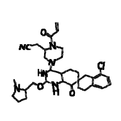 C=CC(=O)N1CCN(C2NC(OCC3CCCN3C)NC3C(=O)C4(CCc5cccc(Cl)c5C4)CCC32)CC1CC#N